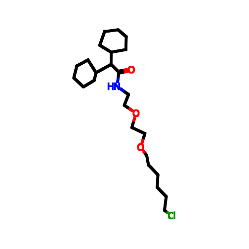 O=C(NCCOCCOCCCCCCCl)C(C1CCCCC1)C1CCCCC1